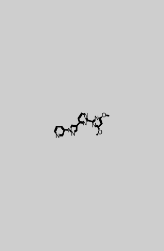 COc1cc(OC)nc(-c2nccc(-c3cnn(-c4cccnc4)c3)n2)n1